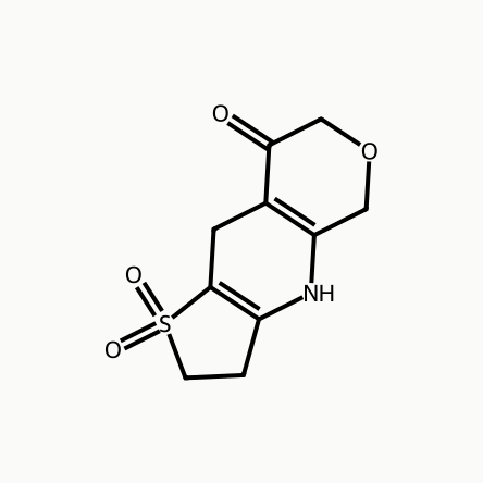 O=C1COCC2=C1CC1=C(CCS1(=O)=O)N2